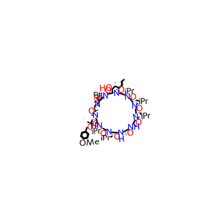 C/C=C/C[C@@H](C)[C@@H](O)[C@H]1C(=O)N[C@@H](CC)C(=O)N(C)CC(=O)N(C)[C@@H](CC(C)(C)OCc2ccc(OC)cc2)C(=O)N[C@@H](C(C)C)C(=O)N(C)[C@@H](CC(C)C)C(=O)N[C@@H](C)C(=O)N[C@H](C)C(=O)N(C)[C@@H](CC(C)C)C(=O)N(C)[C@@H](CC(C)C)C(=O)N(C)[C@@H](C(C)C)C(=O)N1C